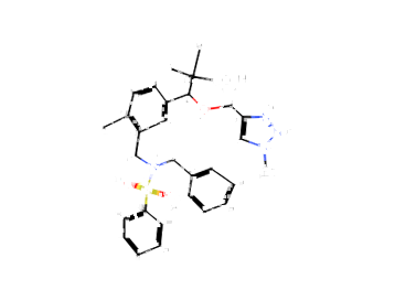 CCn1cc(COC(c2ccc(C)c(CN(Cc3ccccc3)S(=O)(=O)c3ccccc3)c2)C(C)(C)C(=O)O)nn1